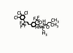 CC(C)CC(=O)N[C@@H](C)NC(=O)c1ccc(C=CC(c2cc(Cl)c(Cl)c(Cl)c2)C(F)(F)F)cc1C(F)(F)F